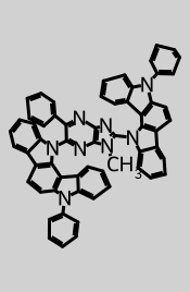 Cn1c(-n2c3ccccc3c3ccc4c(c5ccccc5n4-c4ccccc4)c32)nc2nc(-c3ccccc3)c(-n3c4ccccc4c4ccc5c(c6ccccc6n5-c5ccccc5)c43)nc21